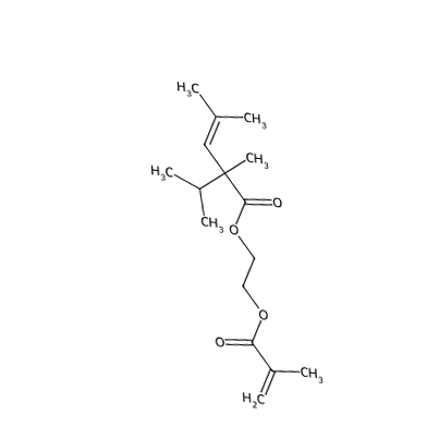 C=C(C)C(=O)OCCOC(=O)C(C)(C=C(C)C)C(C)C